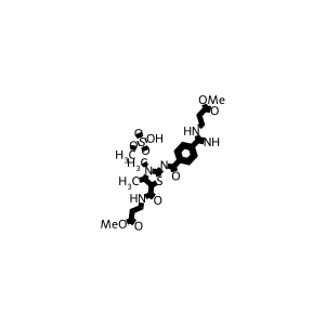 COC(=O)CCNC(=N)c1ccc(C(=O)N=C2SC(C(=O)NCCC(=O)OC)C(C)N2C)cc1.COS(=O)(=O)O